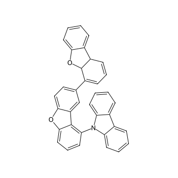 C1=CC2c3ccccc3OC2C(c2ccc3oc4cccc(-n5c6ccccc6c6ccccc65)c4c3c2)=C1